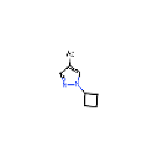 CC(=O)c1cnn(C2CCC2)c1